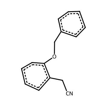 N#CCc1ccccc1OCc1ccccc1